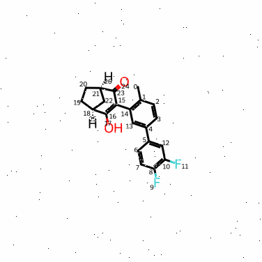 Cc1ccc(-c2ccc(F)c(F)c2)cc1C1=C(O)[C@H]2CC[C@H](C2)C1=O